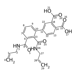 C=CCNC(=O)c1cccc(-c2ccc(C(=O)O)c(C(=O)O)c2)c1C(=O)NCC=C